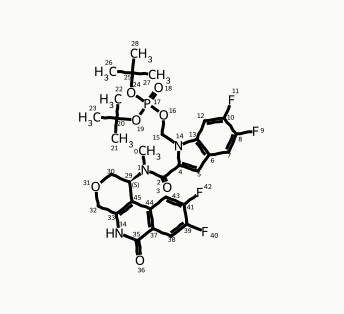 CN(C(=O)c1cc2cc(F)c(F)cc2n1COP(=O)(OC(C)(C)C)OC(C)(C)C)[C@@H]1COCc2[nH]c(=O)c3cc(F)c(F)cc3c21